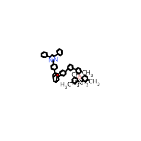 Cc1cc(C)c(B(c2cccc(-c3cccc(-c4ccc(C56CC7CC(C5)CC(c5ccc(-c8nc(-c9ccccc9)cc(-c9ccccc9)n8)cc5)(C7)C6)cc4)c3)c2)c2c(C)cc(C)cc2C)c(C)c1